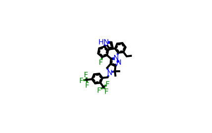 CCc1cccc(CC)c1-n1nc2c(c1-c1c(F)ccc3[nH]ccc13)CN(Cc1ccc(C(F)(F)F)cc1C(F)(F)F)C2(C)C